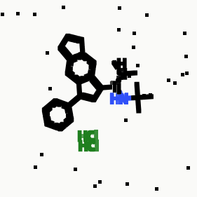 C[SiH](C)[Ti]([NH]C(C)(C)C)[C]1=c2cc3c(cc2C(c2ccccc2)=C1)=CC=C3.Cl.Cl